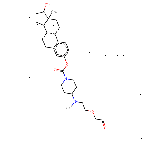 CN(CCOCC=O)C1CCN(C(=O)Oc2ccc3c(c2)CCC2C3CCC3(C)C(O)CCC23)CC1